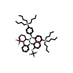 CCCC[Si](CCCC)(CCCC)c1ccc(P(c2ccc([Si](CCCC)(CCCC)CCCC)cc2)N(C2CCCCC2)P(c2ccccc2OC(F)(F)F)c2ccccc2OC(F)(F)F)cc1